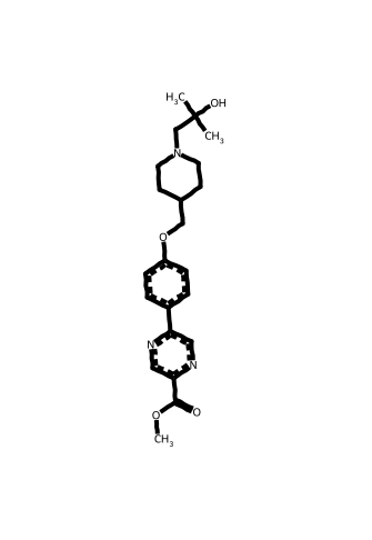 COC(=O)c1cnc(-c2ccc(OCC3CCN(CC(C)(C)O)CC3)cc2)cn1